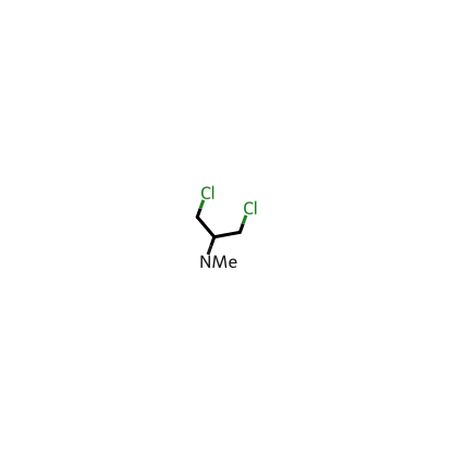 CNC(CCl)CCl